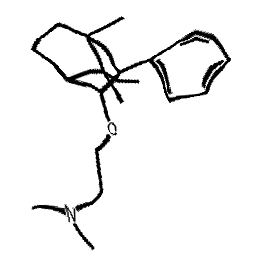 CN(C)CCOC1C2CCC(C)(C1c1ccccc1)C2(C)C